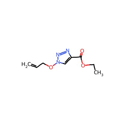 C=CCOn1cc(C(=O)OCC)nn1